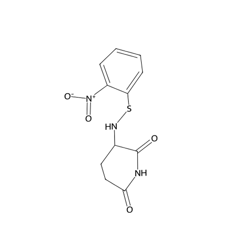 O=C1CCC(NSc2ccccc2[N+](=O)[O-])C(=O)N1